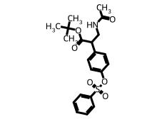 CC(=O)NCC(C(=O)OC(C)(C)C)c1ccc(OS(=O)(=O)c2ccccc2)cc1